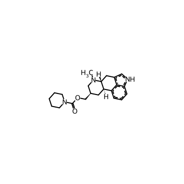 CN1C[C@H](COC(=O)N2CCCCC2)C[C@@H]2c3cccc4[nH]cc(c34)C[C@H]21